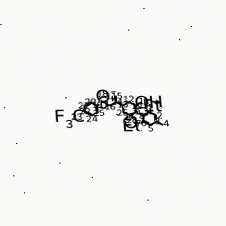 CCc1cc(C)cc(CC)c1C1=C(O)CC(C(C)C[S+]([O-])c2ccc(C(F)(F)F)cc2)CC1=O